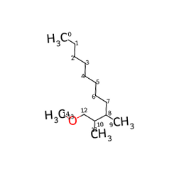 CCCCCCCCC(C)C(C)COC